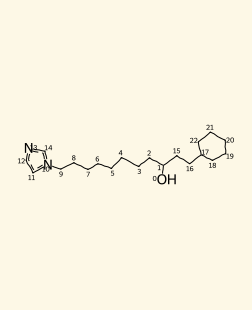 OC(CCCCCCCCn1ccnc1)CCC1CCCCC1